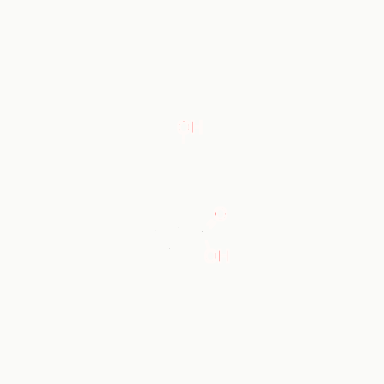 O=C(O)C1(c2ccc(O)cc2)CC1